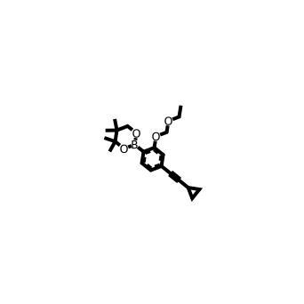 CCOCOc1cc(C#CC2CC2)ccc1B1OCC(C)(C)C(C)(C)O1